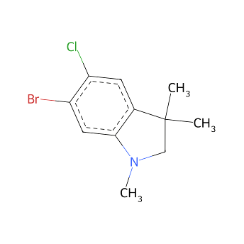 CN1CC(C)(C)c2cc(Cl)c(Br)cc21